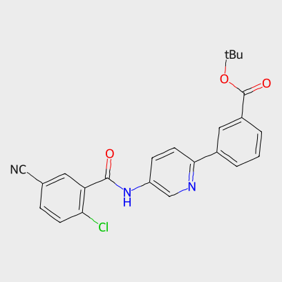 CC(C)(C)OC(=O)c1cccc(-c2ccc(NC(=O)c3cc(C#N)ccc3Cl)cn2)c1